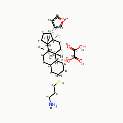 C[C@]12CC[C@H]3[C@@H](CCC4C[C@@H](SCCCN)CC[C@@]43C)[C@@H]1CC[C@@H]2c1ccoc1.O=C(O)C(=O)O